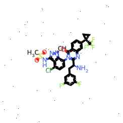 Cn1nc(NS(C)(=O)=O)c2c(Cl)ccc(-n3c([C@@H](N)Cc4cc(F)cc(F)c4)nc4cc(C5(C(F)(F)F)CC5)ccc4c3=O)c21